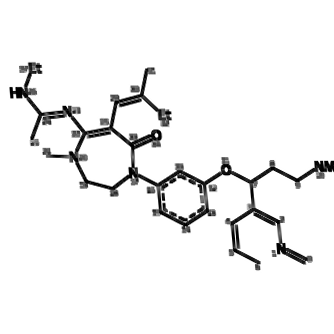 C=N/C=C(\C=C/C)C(CCNC)Oc1cccc(N2CCN(C)C(/N=C(\C)NCC)=C(/C=C(/C)CC)C2=O)c1